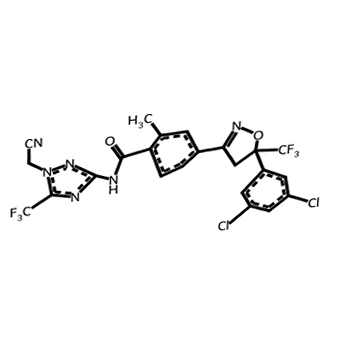 Cc1cc(C2=NOC(c3cc(Cl)cc(Cl)c3)(C(F)(F)F)C2)ccc1C(=O)Nc1nc(C(F)(F)F)n(CC#N)n1